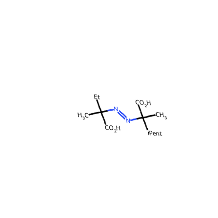 CCCC(C)C(C)(N=NC(C)(CC)C(=O)O)C(=O)O